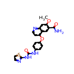 COc1cc2nccc(Oc3ccc(NC(=O)Nc4nccs4)cc3)c2cc1C(N)=O